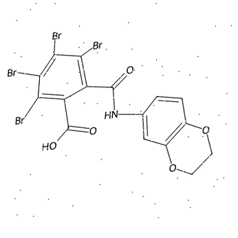 O=C(O)c1c(Br)c(Br)c(Br)c(Br)c1C(=O)Nc1ccc2c(c1)OCCO2